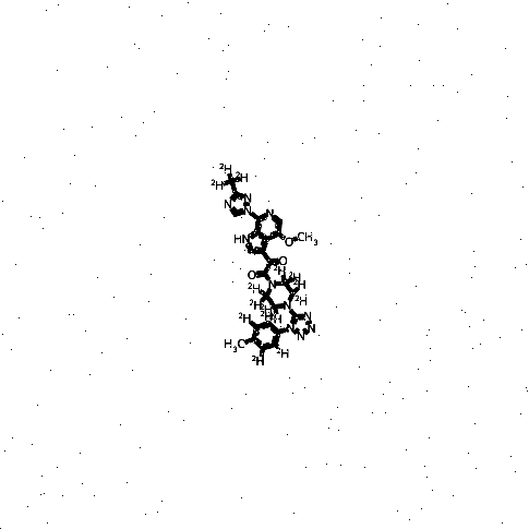 [2H]c1c([2H])c(-n2nnnc2N2C([2H])([2H])C([2H])([2H])N(C(=O)C(=O)c3c[nH]c4c(-n5cnc(C([2H])([2H])[2H])n5)ncc(OC)c34)C([2H])([2H])C2([2H])[2H])c([2H])c([2H])c1C